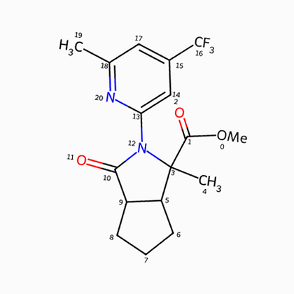 COC(=O)C1(C)C2CCCC2C(=O)N1c1cc(C(F)(F)F)cc(C)n1